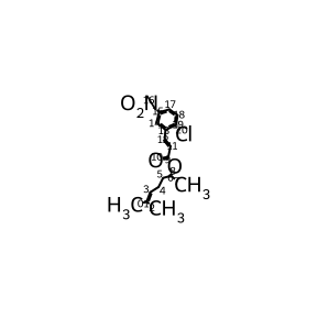 CC(C)=CCCC(C)OC(=O)/C=C/c1cc([N+](=O)[O-])ccc1Cl